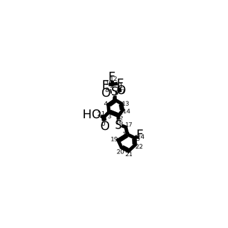 O=C(O)c1cc(S(=O)(=O)C(F)(F)F)ccc1SCc1ccccc1F